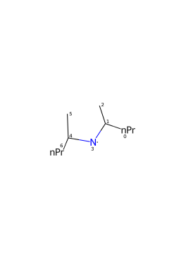 CCCC(C)[N]C(C)CCC